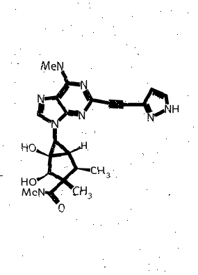 CNC(=O)C1(C)[C@H](C)[C@H]2C(n3cnc4c(NC)nc(C#Cc5cc[nH]n5)nc43)[C@@]2(O)[C@@H]1O